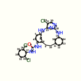 O=C(Nc1ccc2cc1CCc1cccc(c1)Nc1ncc(Cl)c(n1)N2)Nc1c(Cl)cccc1Cl